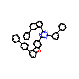 c1ccc(-c2ccc(-c3cccc4oc5cc(-c6nc(-c7cccc(-c8ccccc8)c7)nc(-c7cccc8ccc(-c9ccccc9)cc78)n6)ccc5c34)cc2)cc1